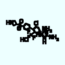 Cl.NC1=NC(N)(c2cc(Cl)c(-c3ccc(S(=O)(=O)C4CNC4)cc3)c(C(F)(F)F)c2)NN1